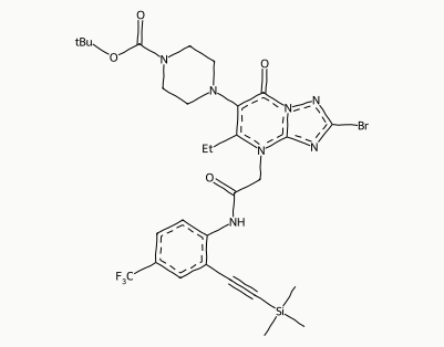 CCc1c(N2CCN(C(=O)OC(C)(C)C)CC2)c(=O)n2nc(Br)nc2n1CC(=O)Nc1ccc(C(F)(F)F)cc1C#C[Si](C)(C)C